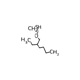 C.CCCCC(CC)COCS